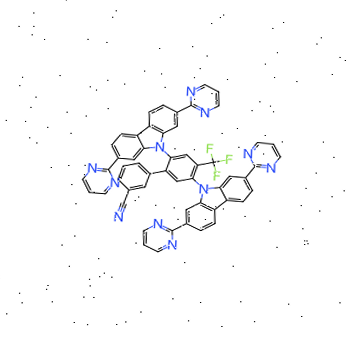 N#Cc1cccc(-c2cc(-n3c4cc(-c5ncccn5)ccc4c4ccc(-c5ncccn5)cc43)c(C(F)(F)F)cc2-n2c3cc(-c4ncccn4)ccc3c3ccc(-c4ncccn4)cc32)c1